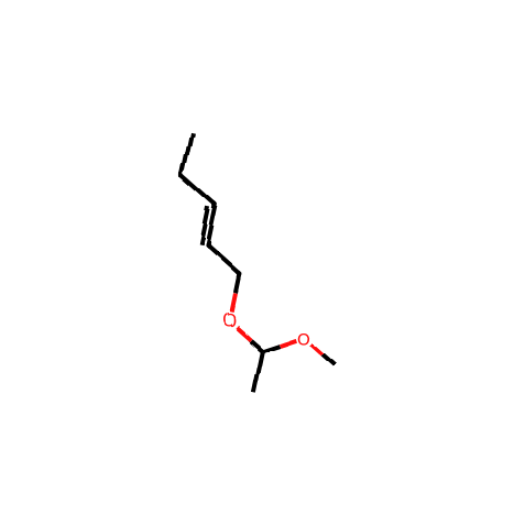 CC/C=C/COC(C)OC